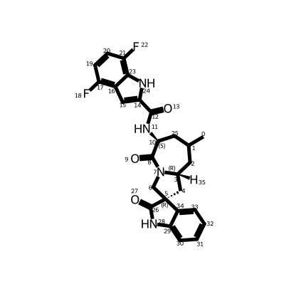 CC1C[C@@H]2C[C@@]3(CN2C(=O)[C@@H](NC(=O)c2cc4c(F)ccc(F)c4[nH]2)C1)C(=O)Nc1ccccc13